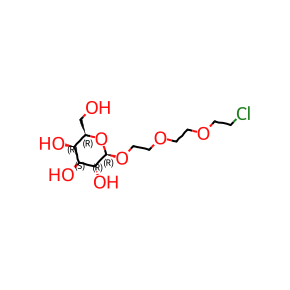 OC[C@H]1O[C@@H](OCCOCCOCCCl)[C@H](O)[C@@H](O)[C@H]1O